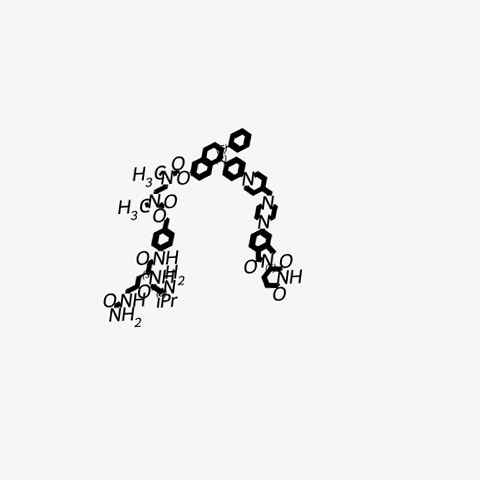 CC(C)[C@H](N)C(=O)N[C@@H](CCCNC(N)=O)C(=O)Nc1ccc(COC(=O)N(C)CCN(C)C(=O)Oc2ccc3c(c2)CC[C@H](c2ccccc2)[C@@H]3c2ccc(N3CCC(CN4CCN(c5ccc6c(c5)CN([C@H]5CCC(=O)NC5=O)C6=O)CC4)CC3)cc2)cc1